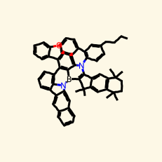 CCCCc1ccc(N2C3=C(B4c5c2cc2oc6ccccc6c2c5-c2cccc5c6cc7ccccc7cc6n4c25)C(C)(C)c2cc4c(cc23)C(C)(C)CCC4(C)C)c(-c2ccccc2)c1